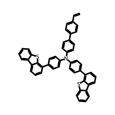 C=Cc1ccc(-c2ccc(N(c3ccc(-c4cccc5c4sc4ccccc45)cc3)c3ccc(-c4cccc5c4sc4ccccc45)cc3)cc2)cc1